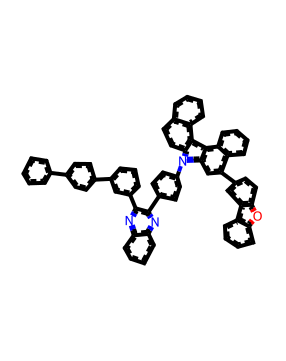 c1ccc(-c2ccc(-c3cccc(-c4nc5ccccc5nc4-c4ccc(-n5c6ccc7ccccc7c6c6c7ccccc7c(-c7ccc8oc9ccccc9c8c7)cc65)cc4)c3)cc2)cc1